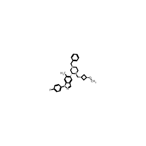 CO[C@H]1C[C@@H](CN2CCN(Cc3ccccc3)C[C@H]2c2cc3cnn(-c4ccc(F)cc4)c3cc2C)C1